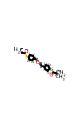 C=CC(=O)Sc1ccc(CO/C=C/c2ccc(SC(=O)C(=C)C)cc2)cc1